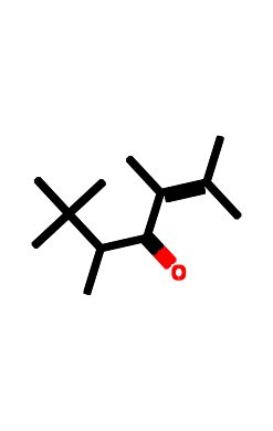 CC(C)=C(C)C(=O)C(C)C(C)(C)C